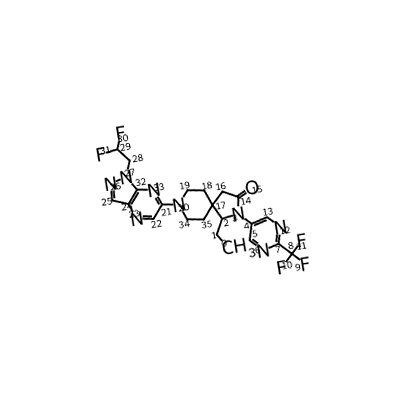 CCC1N(c2cnc(C(F)(F)F)nc2)C(=O)CC12CCN(c1cnc3cnn(CC(F)F)c3n1)CC2